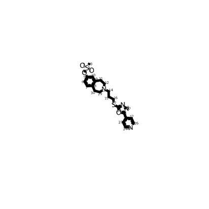 CS(=O)(=O)Oc1ccc2c(c1)CCN(CCCSc1nnc(-c3ccncc3)o1)CC2